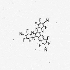 N#Cc1c(F)c(F)c2nc3c4nc5c(F)c(C#N)c(F)c(F)c5nc4c4nc5c(F)c(C#N)c(F)c(F)c5nc4c3nc2c1F